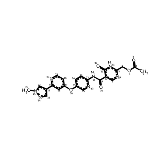 CC(=O)OCc1ncc(C(=O)Nc2ccc(Oc3ccnc(-c4cnn(C)c4)c3)cn2)c(=O)[nH]1